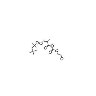 CC(=COOC(C)(C)CC(C)(C)C)C(=O)OC(=O)OCC=O